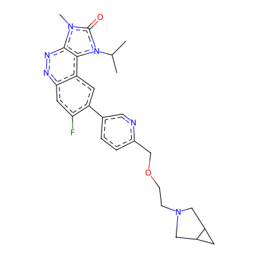 CC(C)n1c(=O)n(C)c2nnc3cc(F)c(-c4ccc(COCCN5CC6CC6C5)nc4)cc3c21